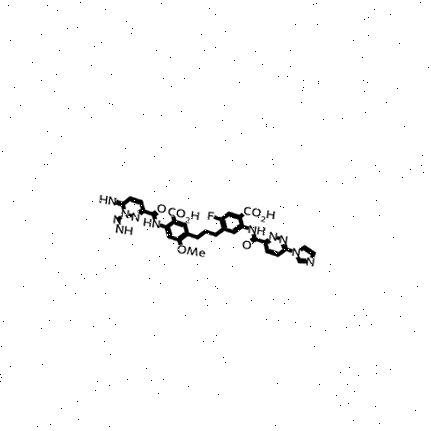 COc1cc(NC(=O)c2ccc(=N)n(N=N)n2)c(C(=O)O)cc1CCCc1cc(NC(=O)c2ccc(-n3ccnc3)nn2)c(C(=O)O)cc1F